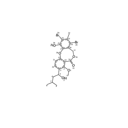 COc1c(C(O)CC(C)C)ccc2c1C(=O)OCc1c(Br)c(C)c(Br)c(O)c1O2